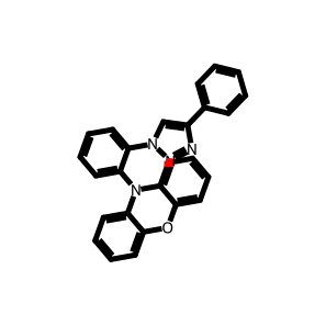 c1ccc(-c2cn(-c3ccccc3N3c4ccccc4Oc4ccccc43)nn2)cc1